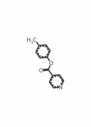 Cc1ccc(OC(=O)c2ccncc2)cc1